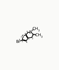 CC1Cc2cc(Br)sc2CN1C